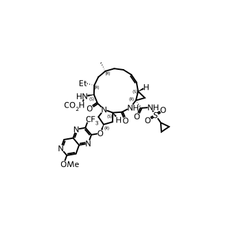 CC[C@@H]1C[C@H](C)CCC=C[C@@H]2C[C@@]2(C(=O)NS(=O)(=O)C2CC2)NC(=O)[C@@H]2C[C@@H](Oc3nc4cc(OC)ncc4nc3C(F)(F)F)CN2C(=O)[C@H]1NC(=O)O